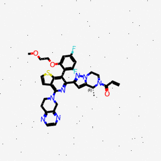 C=CC(=O)N1CCn2nc(-c3nc(N4CCc5nccnc5C4)c4ccsc4c3-c3c(F)cc(F)cc3OCCOC)cc2[C@H]1C